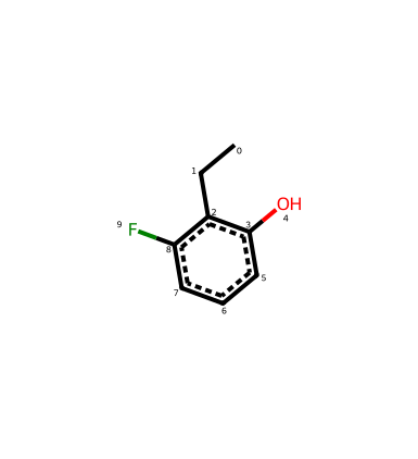 CCc1c(O)cccc1F